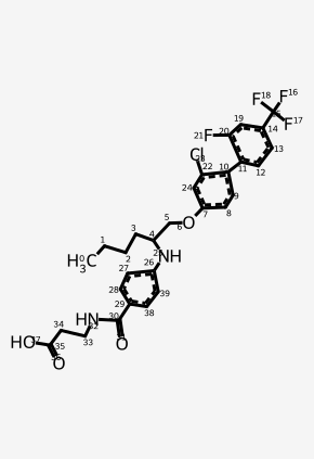 CCCCC(COc1ccc(-c2ccc(C(F)(F)F)cc2F)c(Cl)c1)Nc1ccc(C(=O)NCCC(=O)O)cc1